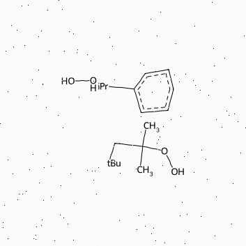 CC(C)(C)CC(C)(C)OO.CC(C)c1ccccc1.OO